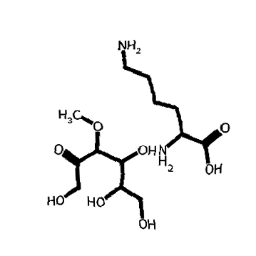 COC(C(=O)CO)C(O)C(O)CO.NCCCCC(N)C(=O)O